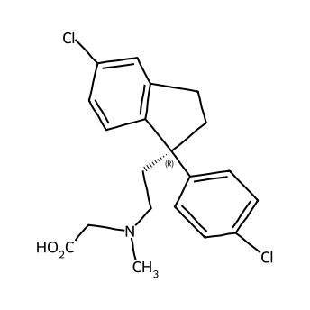 CN(CC[C@@]1(c2ccc(Cl)cc2)CCc2cc(Cl)ccc21)CC(=O)O